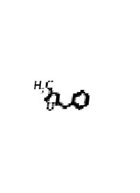 [CH2]c1coc(Cc2ccccc2)c1